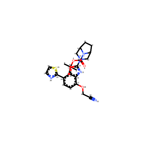 CC(C)(C)OC(=O)N1C2CCC1CN(c1nc3c(OCC#N)ccc(-c4nccs4)c3o1)C2